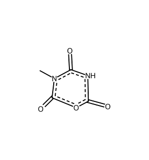 Cn1c(=O)[nH]c(=O)oc1=O